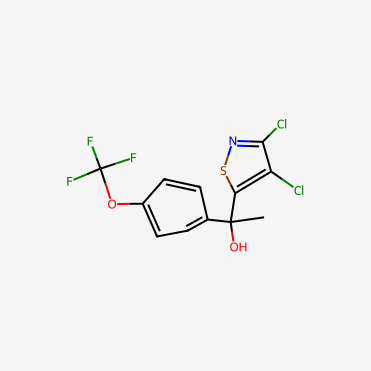 CC(O)(c1ccc(OC(F)(F)F)cc1)c1snc(Cl)c1Cl